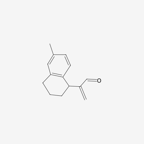 C=C(C=O)C1CCCc2cc(C)ccc21